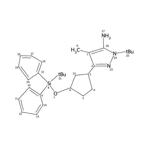 Cc1c(C2CCC(O[Si](c3ccccc3)(c3ccccc3)C(C)(C)C)C2)nn(C(C)(C)C)c1N